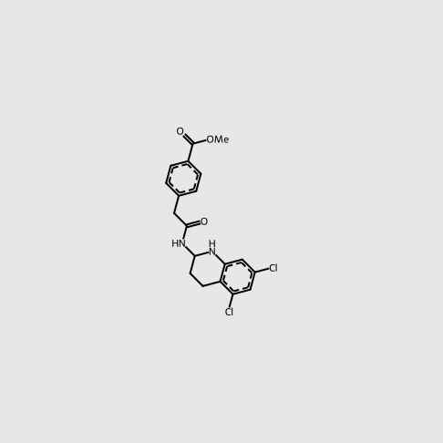 COC(=O)c1ccc(CC(=O)NC2CCc3c(Cl)cc(Cl)cc3N2)cc1